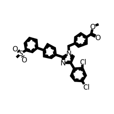 COC(=O)c1ccc(Cn2cc(-c3ccc(Cl)cc3Cl)nc2-c2ccc(-c3cccc(S(C)(=O)=O)c3)cc2)cc1